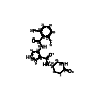 O=C1CC[C@H](NC(=O)c2n[nH]cc2NC(=O)c2c(F)cccc2F)CN1